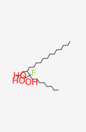 CCCCCCCCCCCCCC(CCC)C(F)(CCCCCCCC)C(O)(O)O